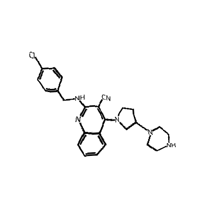 N#Cc1c(NCc2ccc(Cl)cc2)nc2ccccc2c1N1CCC(N2CCNCC2)C1